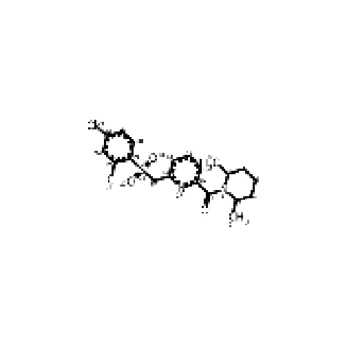 CC1CCCC(C)N1C(=O)c1cccc(CS(=O)(=O)c2ccc(Cl)cc2Cl)n1